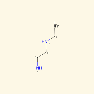 CC(C)CNCC[NH]